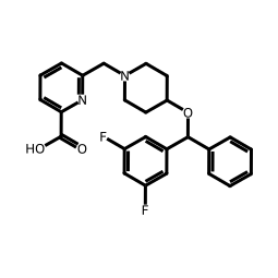 O=C(O)c1cccc(CN2CCC(OC(c3ccccc3)c3cc(F)cc(F)c3)CC2)n1